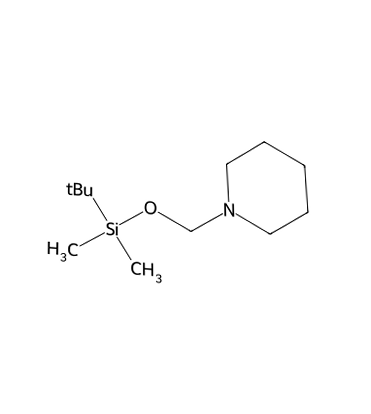 CC(C)(C)[Si](C)(C)OCN1CCCCC1